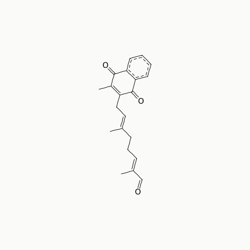 CC1=C(C/C=C(\C)CC/C=C(\C)C=O)C(=O)c2ccccc2C1=O